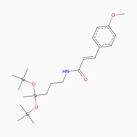 COc1ccc(C=CC(=O)NCCC[Si](C)(O[Si](C)(C)C)O[Si](C)(C)C)cc1